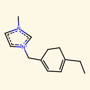 CCC1=CC=C(C[n+]2ccn(C)c2)CC1